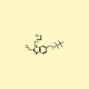 CC(C)(C)[Si](C)(C)OCc1ccc2nc(CCl)n(C[C@@H]3CCO3)c2c1